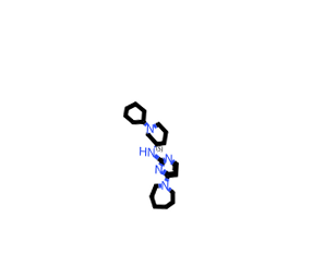 c1cc(N2CCCCCC2)nc(N[C@H]2CCCN(C3CCCCC3)C2)n1